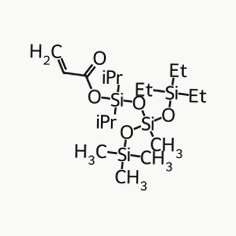 C=CC(=O)O[Si](O[Si](C)(O[Si](C)(C)C)O[Si](CC)(CC)CC)(C(C)C)C(C)C